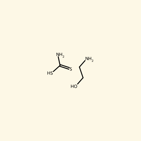 NC(=S)S.NCCO